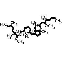 C/C=C\C=C(/C)C(CC1=NC2(C)C=C/C(=C/C(C)C/C=C\CCN/C(=N\C)C(C)(C)CC[C@@H](C)CC)C2(C)CN1C)OC